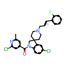 Cc1cc(C(=O)N2CC3(CCN(C/C=C/c4ccccc4F)CC3)c3cc(Cl)ccc32)cc(Cl)n1